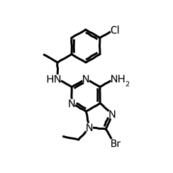 CCn1c(Br)nc2c(N)nc(NC(C)c3ccc(Cl)cc3)nc21